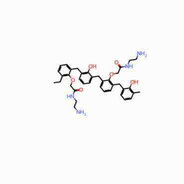 CCc1cccc(Cc2cccc(Cc3cccc(Cc4cccc(C)c4O)c3OCC(=O)NCCN)c2O)c1OCC(=O)NCCN